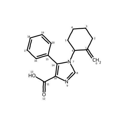 C=C1CCCCC1n1cnc(C(=O)O)c1-c1ccccc1